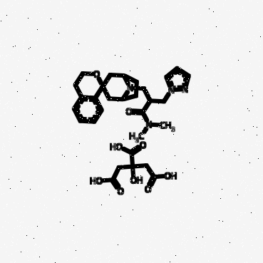 CN(C)C(=O)C(CN1C2CCC1CC1(C2)OCCc2ccccc21)Cn1cccn1.O=C(O)CC(O)(CC(=O)O)C(=O)O